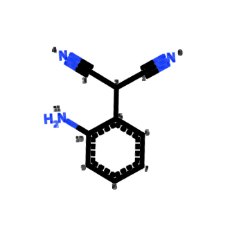 N#CC(C#N)c1ccccc1N